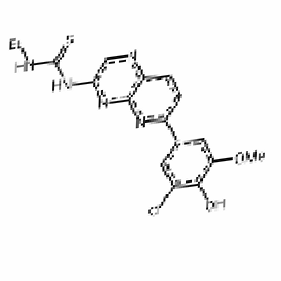 CCNC(=S)Nc1cnc2ccc(-c3cc(Cl)c(O)c(OC)c3)nc2n1